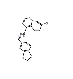 Clc1ccc2c(N/N=C\c3ccc4c(c3)OCO4)ccnc2c1